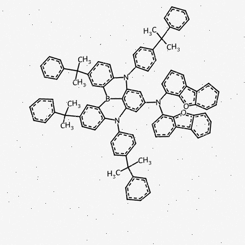 CC(C)(c1ccccc1)c1ccc(N2c3ccc(C(C)(C)c4ccccc4)cc3B3c4cc(C(C)(C)c5ccccc5)ccc4N(c4ccc(C(C)(C)c5ccccc5)cc4)c4cc(N(c5cccc6c5oc5ccccc56)c5cccc6c5oc5ccccc56)cc2c43)cc1